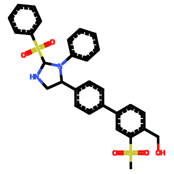 CS(=O)(=O)c1cc(-c2ccc(C3CNC(S(=O)(=O)c4ccccc4)N3c3ccccc3)cc2)ccc1CO